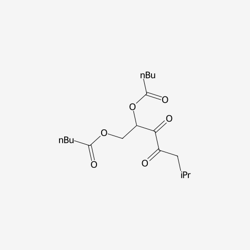 CCCCC(=O)OCC(OC(=O)CCCC)C(=O)C(=O)CC(C)C